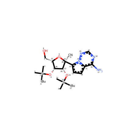 CC(C)(C)[Si](C)(C)O[C@@H]1[C@H](CO)O[C@@](C#N)(c2ccc3c(N)ncnn23)[C@@H]1O[Si](C)(C)C(C)(C)C